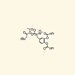 CCCC(=O)Oc1ccc(C[C@H](N)C(=O)O[C@@H](C)C(C)OC(=O)CC(C)(C)C)cc1OC(=O)CCC